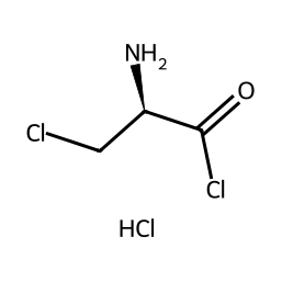 Cl.N[C@H](CCl)C(=O)Cl